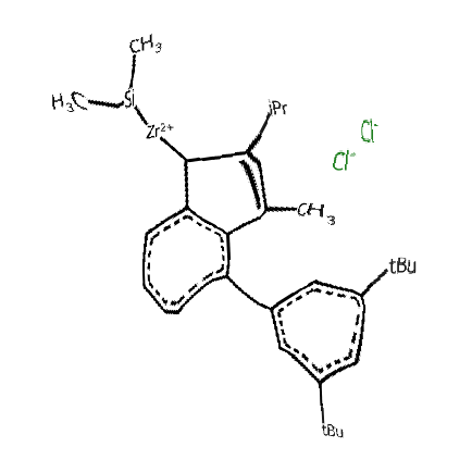 CC1=C(C(C)C)[CH]([Zr+2][Si](C)C)c2cccc(-c3cc(C(C)(C)C)cc(C(C)(C)C)c3)c21.[Cl-].[Cl-]